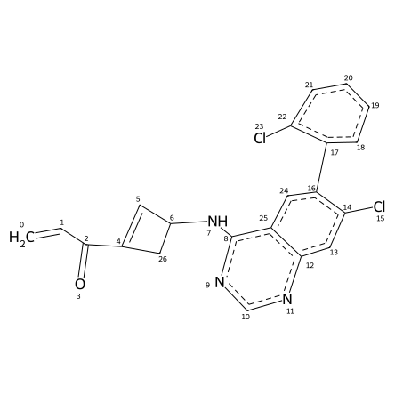 C=CC(=O)C1=CC(Nc2ncnc3cc(Cl)c(-c4ccccc4Cl)cc23)C1